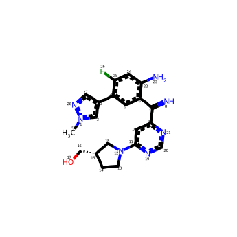 Cn1cc(-c2cc(C(=N)c3cc(N4CC[C@H](CO)C4)ncn3)c(N)cc2F)cn1